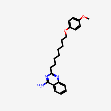 COc1ccc(OCCCCCCCCc2nc(N)c3ccccc3n2)cc1